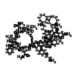 CC(=O)NC1CCSCC(C(=O)NC(Cc2ccc(OCCN)cc2)C(=O)NC(Cc2ccc3ccccc3c2)C(=O)NC2(C(=O)NC(CCCCNC3CCCCCC(C4CCCCCCCC4)C3)C(=O)NC(CC(N)=O)C(=O)NC(CC(N)=O)C(N)=O)CCOCC2)NC(=O)C(CCC(N)=O)NC(=O)C(Cc2c[nH]c3ccccc23)NC(=O)C(C(C)O)NC(=O)C(CCC(N)=O)NC1=O